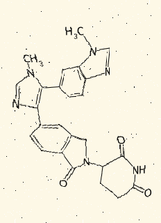 Cn1cnc(-c2ccc3c(c2)CN(C2CCC(=O)NC2=O)C3=O)c1-c1ccc2ncn(C)c2c1